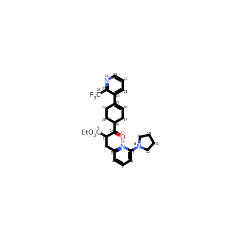 CCOC(=O)C(Cc1cccc(N2CCCC2)n1)C(=O)C1CC=C(c2cccnc2C(F)(F)F)CC1